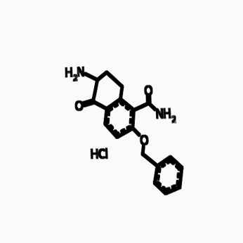 Cl.NC(=O)c1c(OCc2ccccc2)ccc2c1CCC(N)C2=O